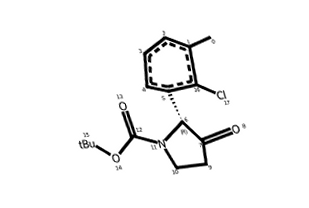 Cc1cccc([C@@H]2C(=O)CCN2C(=O)OC(C)(C)C)c1Cl